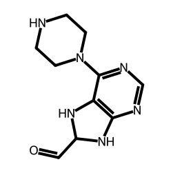 O=CC1Nc2ncnc(N3CCNCC3)c2N1